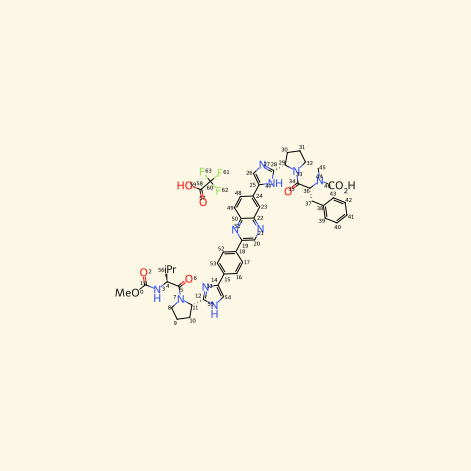 COC(=O)N[C@H](C(=O)N1CCC[C@H]1c1nc(-c2ccc(-c3cnc4cc(-c5cnc([C@@H]6CCCN6C(=O)[C@@H](Cc6ccccc6)N(C)C(=O)O)[nH]5)ccc4n3)cc2)c[nH]1)C(C)C.O=C(O)C(F)(F)F